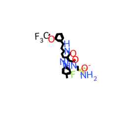 Cc1ccc(-n2nc3c(c2C(=O)NCC[S+](N)[O-])C(=O)NC(CCc2cccc(OCC(F)(F)F)c2)C3)cc1F